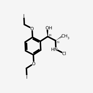 C[C@H](NCl)[C@H](O)c1cc(OCI)ccc1OCI